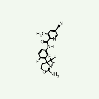 Cc1cc(C#N)cnc1C(=O)Nc1ccc(F)c(C2(C(F)(F)F)CCOC(N)=N2)c1